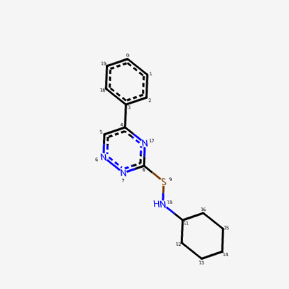 c1ccc(-c2cnnc(SNC3CCCCC3)n2)cc1